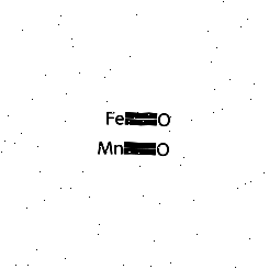 [O]=[Fe].[O]=[Mn]